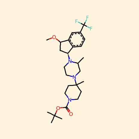 COC1C[C@H](N2CCN(C3(C)CCN(C(=O)OC(C)(C)C)CC3)CC2C)c2ccc(C(F)(F)F)cc21